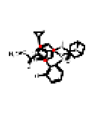 COC(=O)c1ccc(NC(=O)N2C3CC(OCc4c(-c5c(Cl)cccc5Cl)noc4C4CC4)CC2C3)cn1